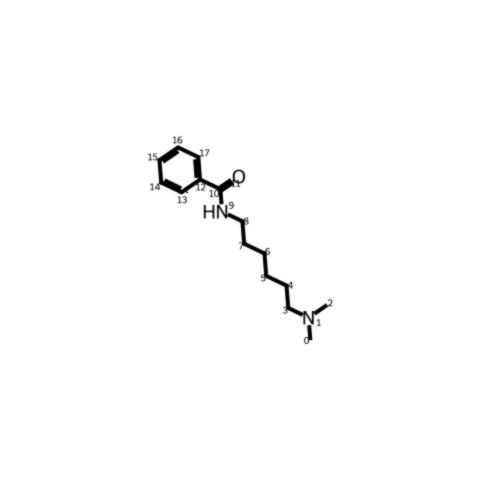 CN(C)CCCCCCNC(=O)c1[c]cccc1